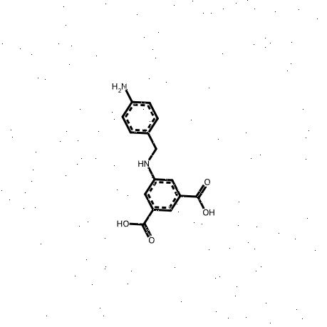 Nc1ccc(CNc2cc(C(=O)O)cc(C(=O)O)c2)cc1